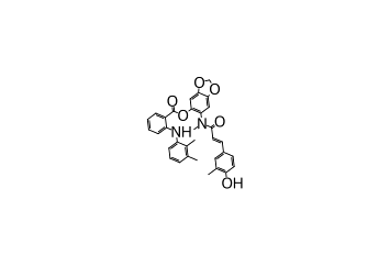 Cc1cc(/C=C/C(=O)N(C)c2cc3c(cc2OC(=O)c2ccccc2Nc2cccc(C)c2C)OCO3)ccc1O